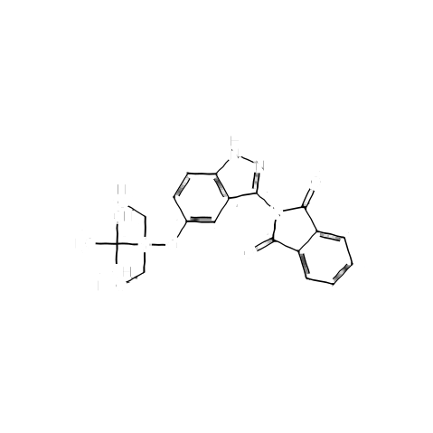 CC[Si](CC)(Oc1ccc2[nH]nc(N3C(=O)c4ccccc4C3=O)c2c1)C(C)(C)C